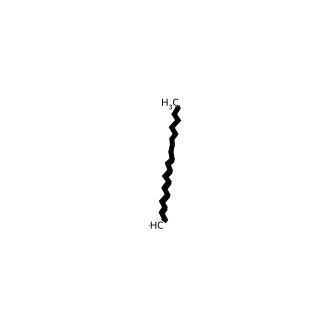 [CH]=C/C=C/C=C/C=C/C=C/C=C/CCCCCCCCC